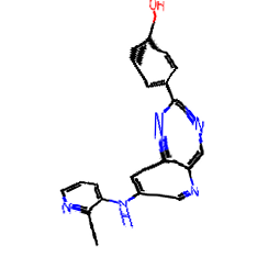 Cc1ncccc1Nc1cnc2cnc(-c3ccc(O)cc3)nc2c1